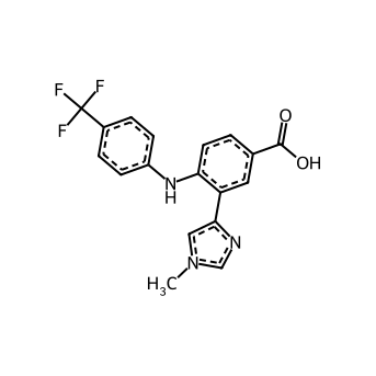 Cn1cnc(-c2cc(C(=O)O)ccc2Nc2ccc(C(F)(F)F)cc2)c1